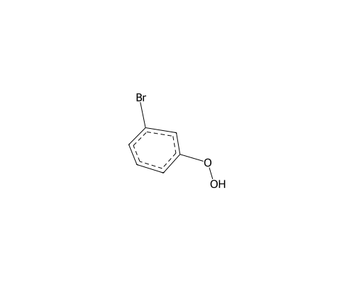 OOc1cccc(Br)c1